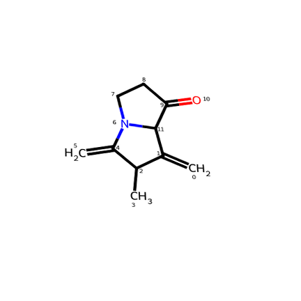 C=C1C(C)C(=C)N2CCC(=O)C12